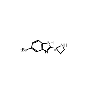 CC(C)(C)c1ccc2[nH]c([C@H]3CCN3)nc2c1